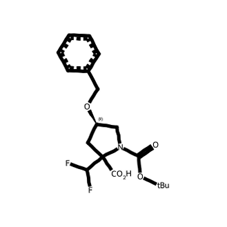 CC(C)(C)OC(=O)N1C[C@H](OCc2ccccc2)CC1(C(=O)O)C(F)F